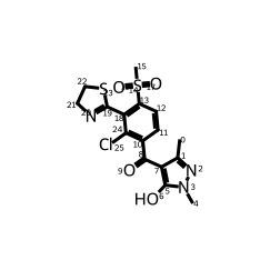 Cc1nn(C)c(O)c1C(=O)c1ccc(S(C)(=O)=O)c(C2=NCCS2)c1Cl